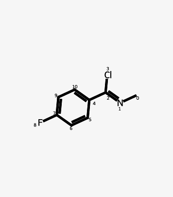 C/N=C(\Cl)c1ccc(F)cc1